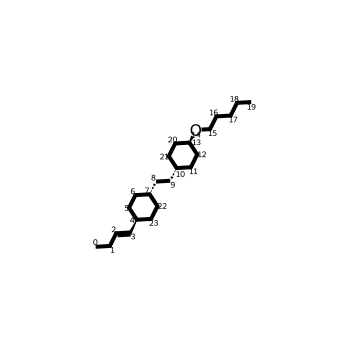 CCC=C[C@H]1CC[C@H](CC[C@H]2CC[C@H](OCCCCC)CC2)CC1